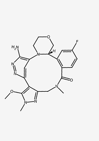 COc1c2c(nn1C)CN(C)C(=O)c1ccc(F)cc1[C@H]1COCCN1c1cc-2nnc1N